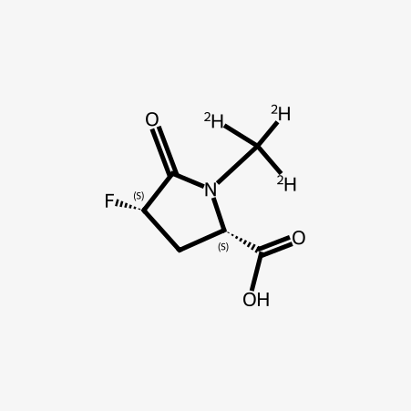 [2H]C([2H])([2H])N1C(=O)[C@@H](F)C[C@H]1C(=O)O